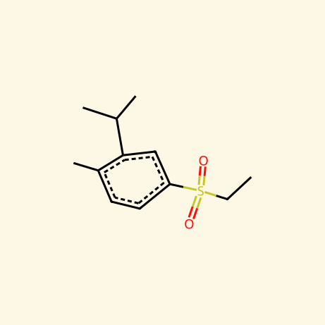 CCS(=O)(=O)c1ccc(C)c(C(C)C)c1